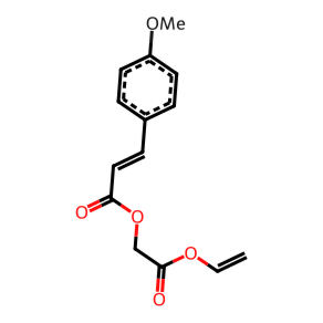 C=COC(=O)COC(=O)C=Cc1ccc(OC)cc1